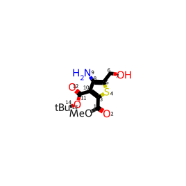 COC(=O)c1sc(CO)c(N)c1C(=O)OC(C)(C)C